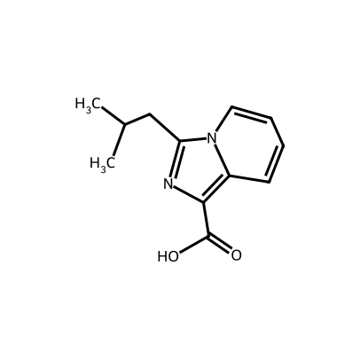 CC(C)Cc1nc(C(=O)O)c2ccccn12